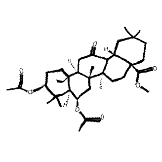 COC(=O)[C@]12CCC(C)(C)C[C@H]1C1C(=O)C[C@@H]3[C@@]4(C)CC[C@H](OC(C)=O)C(C)(C)[C@@H]4[C@H](OC(C)=O)C[C@@]3(C)[C@]1(C)CC2